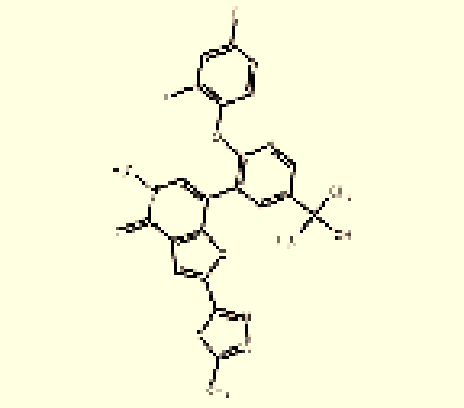 Cc1nnc(-c2cc3c(=O)n(C)cc(-c4cc(C(C)(C)O)cnc4Oc4ccc(F)cc4F)c3o2)o1